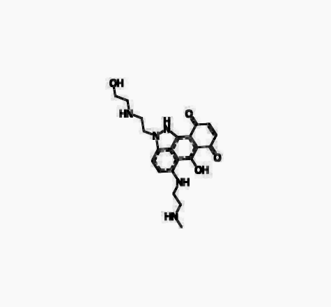 CNCCNc1ccc2c3c(c4c(c(O)c13)C(=O)C=CC4=O)NN2CCNCCO